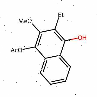 CCc1c(OC)c(OC(C)=O)c2ccccc2c1O